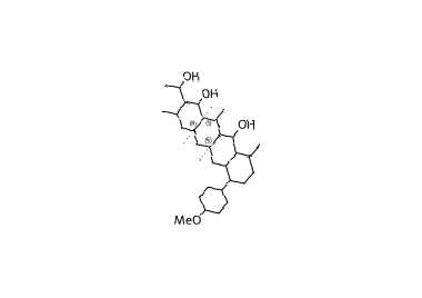 COC1CCC(C2CCC(C)C3C(O)C4C(C)[C@]5(C)C(O)C(C(C)O)C(C)C[C@]5(C)C[C@]4(C)CC23)CC1